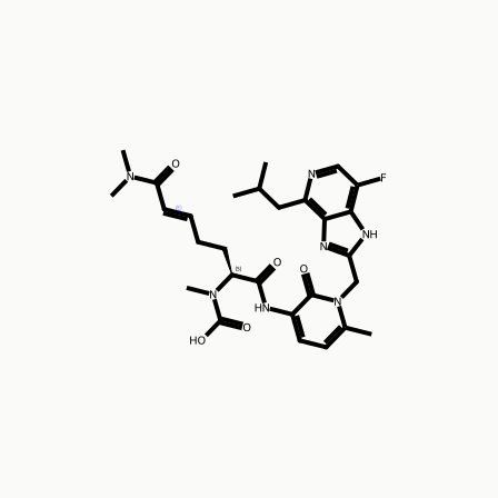 Cc1ccc(NC(=O)[C@H](CC/C=C/C(=O)N(C)C)N(C)C(=O)O)c(=O)n1Cc1nc2c(CC(C)C)ncc(F)c2[nH]1